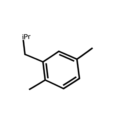 [CH2]C(C)Cc1cc(C)ccc1C